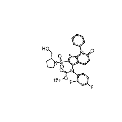 CC(C)(C)OC(=O)N(c1ccc(F)cc1F)c1c(S(=O)(=O)N2CCC[C@@H]2CO)sc2c1ccc(=O)n2-c1ccccc1